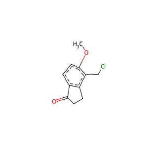 COc1ccc2c(c1CCl)CCC2=O